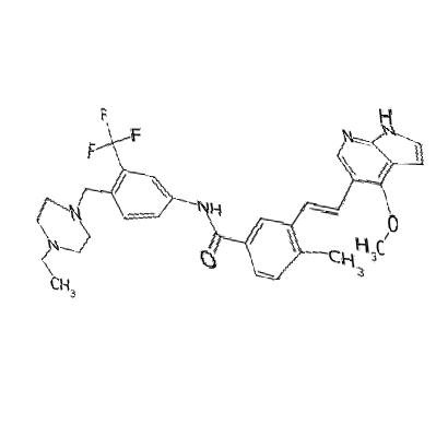 CCN1CCN(Cc2ccc(NC(=O)c3ccc(C)c(/C=C/c4cnc5[nH]ccc5c4OC)c3)cc2C(F)(F)F)CC1